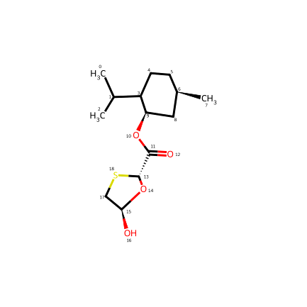 CC(C)C1CC[C@@H](C)C[C@H]1OC(=O)[C@@H]1O[C@@H](O)CS1